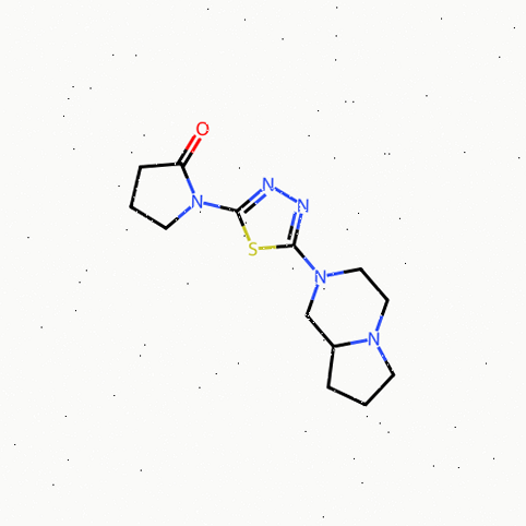 O=C1CCCN1c1nnc(N2CCN3CCCC3C2)s1